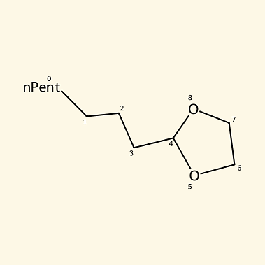 CCCCCCCCC1OCCO1